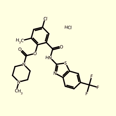 Cc1cc(Cl)cc(C(=O)Nc2nc3ccc(C(F)(F)F)cc3s2)c1OC(=O)N1CCN(C)CC1.Cl